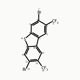 FC(F)(F)c1cc2c(cc1Br)sc1cc(Br)c(C(F)(F)F)cc12